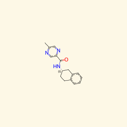 Cc1cnc(C(=O)N[C@H]2CCc3ccccc3C2)cn1